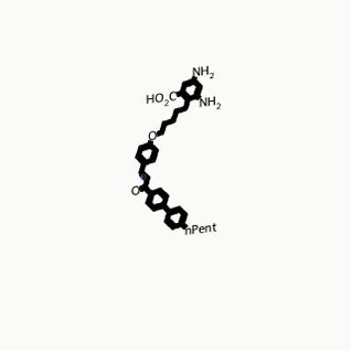 CCCCCc1ccc(-c2ccc(C(=O)/C=C/c3ccc(OCCCCCc4c(N)cc(N)cc4C(=O)O)cc3)cc2)cc1